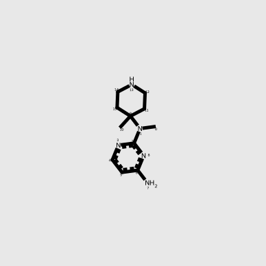 CN(c1nccc(N)n1)C1(C)CCNCC1